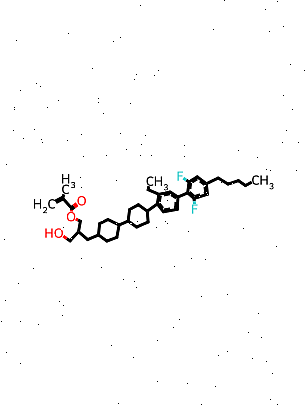 C=C(C)C(=O)OCC(CO)CC1CCC(C2CCC(c3ccc(-c4c(F)cc(CCCCC)cc4F)cc3CC)CC2)CC1